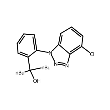 CCCCC(O)(CCCC)c1ccccc1-n1nnc2c(Cl)cccc21